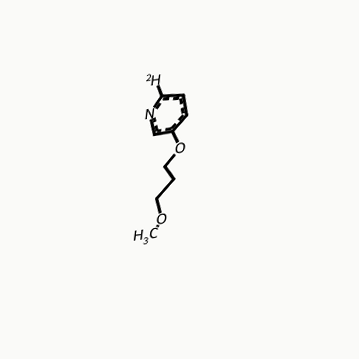 [2H]c1ccc(OCCCOC)cn1